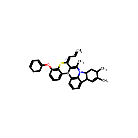 C=C/C=C1/Sc2c(OC3=CC=CCC3)cccc2B2C1=C(C)N1c3c2cccc3C2C=C(C)C(C)CC21